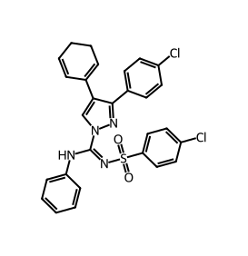 O=S(=O)(N=C(Nc1ccccc1)n1cc(C2=CCCC=C2)c(-c2ccc(Cl)cc2)n1)c1ccc(Cl)cc1